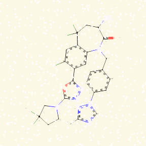 NC1CC(F)(F)c2cc(F)c(-c3nnc(N4CCC(F)(F)C4)o3)cc2N(Cc2ccc(-n3cnc(C(F)(F)F)n3)cc2)C1=O